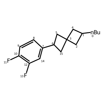 CCCCC1CC2(C1)CC(c1ccc(F)c(F)c1)C2